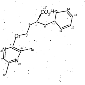 Cc1cnc(OCC[C@H](CC2C=CC=CC2)C(=O)O)c(C)n1